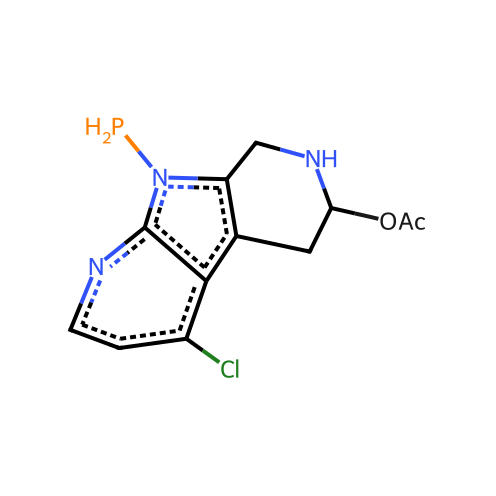 CC(=O)OC1Cc2c(n(P)c3nccc(Cl)c23)CN1